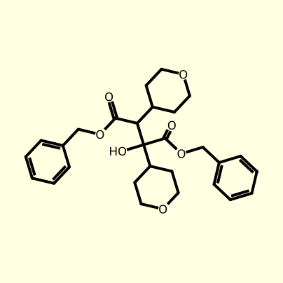 O=C(OCc1ccccc1)C(C1CCOCC1)C(O)(C(=O)OCc1ccccc1)C1CCOCC1